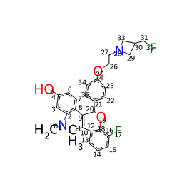 C=Nc1cc(O)ccc1C1=C(C)c2cccc(F)c2OC1c1ccc(OCCN2CC(CF)C2)cc1